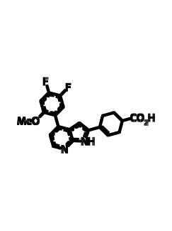 COc1cc(F)c(F)cc1-c1ccnc2[nH]c(C3=CCC(C(=O)O)CC3)cc12